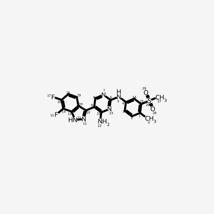 Cc1ccc(Nc2ncc(-c3n[nH]c4c(F)c(F)ccc34)c(N)n2)cc1S(C)(=O)=O